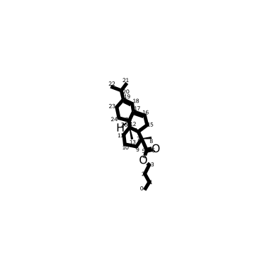 CCCCOC(=O)[C@]1(C)CCC[C@@]2(C)C1CC=C1C=C(C(C)C)CC[C@@H]12